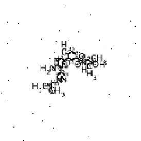 Cc1ccc(S(=O)(=O)NCC(C)(C)O)cc1-c1cnc(N)c(-c2cnn(CCN(C)C)c2)n1